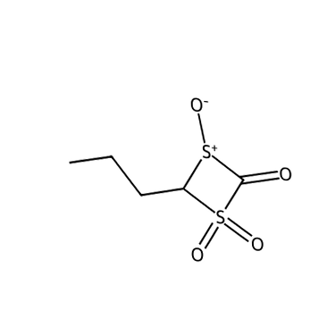 CCCC1[S+]([O-])C(=O)S1(=O)=O